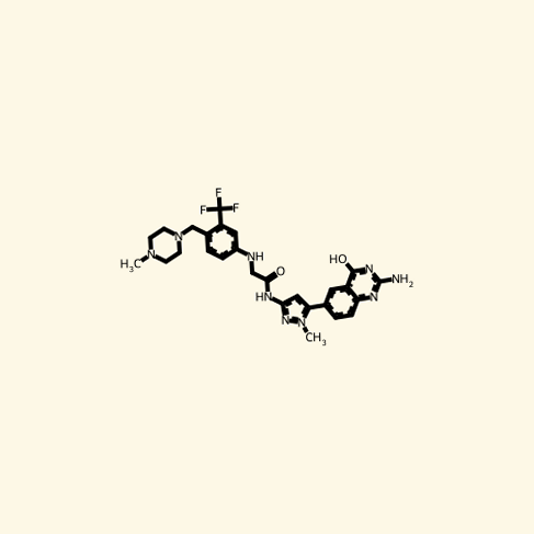 CN1CCN(Cc2ccc(NCC(=O)Nc3cc(-c4ccc5nc(N)nc(O)c5c4)n(C)n3)cc2C(F)(F)F)CC1